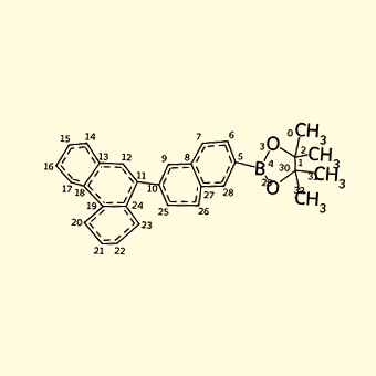 CC1(C)OB(c2ccc3cc(-c4cc5ccccc5c5ccccc45)ccc3c2)OC1(C)C